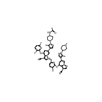 CC(=O)N[C@H]1CC[C@@H](n2ncc(-c3cc(Sc4nc(F)ccc4F)c4c(C#N)c[n+](Cc5ccc(F)c(Sc6cc(-c7cnn(C8CCN(C)CC8)c7C)cn7ncc(C#N)c67)n5)n4c3)c2C)CC1